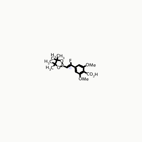 COc1cc(/C(F)=C/B2OC(C)(C)C(C)(C)O2)cc(OC)c1C(=O)O